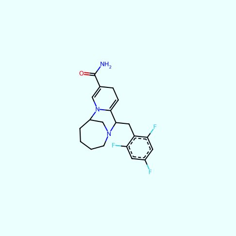 NC(=O)C1=CN2C(=CC1)C(Cc1c(F)cc(F)cc1F)N1CCCCC2C1